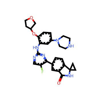 O=C1NC2(CC2)c2ccc(-c3nc(Nc4cc(N5CCNCC5)ccc4OC4CCOC4)ncc3F)cc21